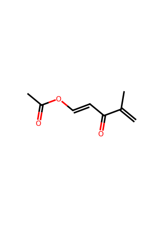 C=C(C)C(=O)C=COC(C)=O